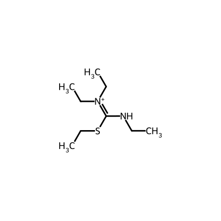 CCNC(SCC)=[N+](CC)CC